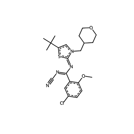 COc1ccc(Cl)cc1C(/N=c1\sc(C(C)(C)C)cn1CC1CCOCC1)=N\C#N